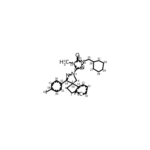 Cn1c(N2C[C@@]3(CCc4ccccc43)C(c3ccc(I)cc3)=N2)nn(CC2CCCCC2)c1=O